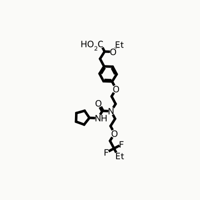 CCOC(Cc1ccc(OCCN(CCOCC(F)(F)CC)C(=O)NC2CCCC2)cc1)C(=O)O